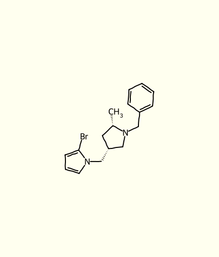 C[C@H]1C[C@@H](Cn2cccc2Br)CN1Cc1ccccc1